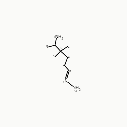 CC(N)C(C)(C)CCC=NN